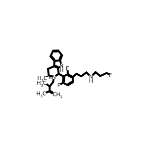 C=C(C)C(C)CN1C(c2c(F)ccc(CCCNCCCF)c2F)c2[nH]c3ccccc3c2C[C@H]1C